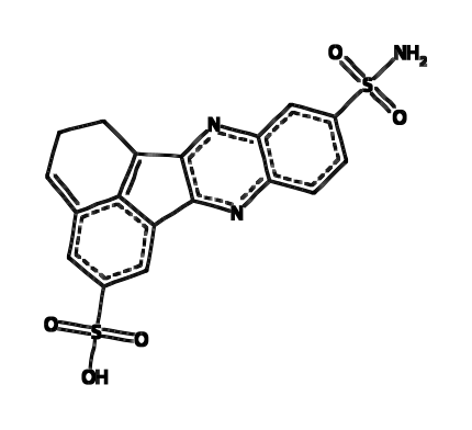 NS(=O)(=O)c1ccc2nc3c(nc2c1)C1=c2c-3cc(S(=O)(=O)O)cc2=CCC1